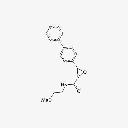 COCCNC(=O)N1OC1c1ccc(-c2ccccc2)cc1